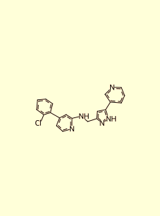 Clc1ccccc1-c1ccnc(NCc2cc(-c3cccnc3)[nH]n2)c1